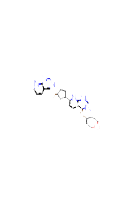 c1cnc2ncnc(SC3CCC(c4ccc5c(SC6CCOCC6)ncnc5n4)C3)c2c1